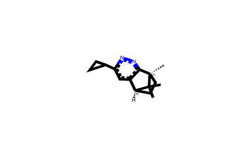 CC1(C)[C@H]2CC[C@]1(C)c1nnc(C3CC3)cc12